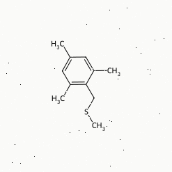 CSCc1c(C)cc(C)cc1C